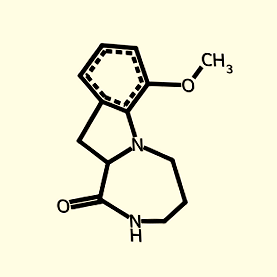 COc1cccc2c1N1CCCNC(=O)C1C2